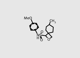 COc1ccc(NS(=O)(=O)C2OCC23CCC(C)CC3)cc1